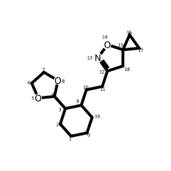 C1CCC(C2OCCO2)C(CCC2=NOC3(CC3)C2)C1